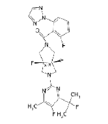 Cc1nc(N2C[C@]3(F)CN(C(=O)c4c(F)cccc4-n4nccn4)C[C@]3(F)C2)nc(C(C)(C)F)c1F